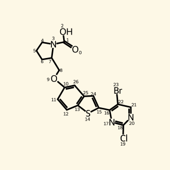 O=C(O)N1CCCC1COc1ccc2sc(-c3nc(Cl)ncc3Br)cc2c1